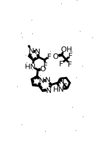 Cn1cc(NC(=O)c2ccc3cnc(N4CC5CCC4CN5)nn23)c(C(F)F)n1.O=C(O)C(F)(F)F